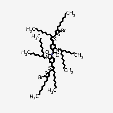 CCCCCCCCc1cc(-c2sc(-c3ccc4c(c3)N(CC(CCCCCC)CCCCCCCC)C(=O)/C4=C3/C(=O)N(CC(CCCCCC)CCCCCCCC)c4cc(-c5cc(CCCCCCCC)c(-c6cc(CCCCCCCC)c(Br)s6)s5)ccc43)cc2CCCCCCCC)sc1Br